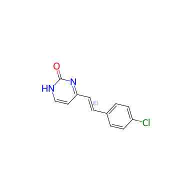 O=c1nc(/C=C/c2ccc(Cl)cc2)cc[nH]1